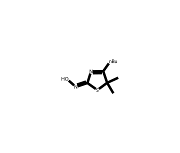 CCCCC1=NC(=NO)SC1(C)C